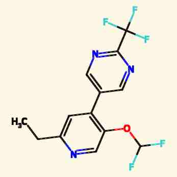 CCc1cc(-c2cnc(C(F)(F)F)nc2)c(OC(F)F)cn1